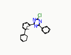 Clc1nc(-c2ccccc2)nc(-c2cccc(C3=CC=CCC3)c2)n1